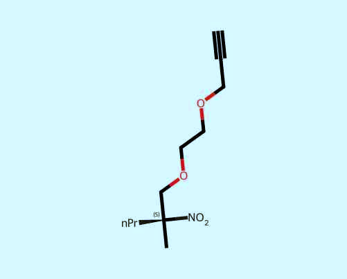 C#CCOCCOC[C@](C)(CCC)[N+](=O)[O-]